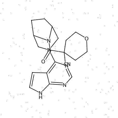 N#CC1(C(=O)N2C3CCC2CN(c2ncnc4[nH]ccc24)C3)CCOCC1